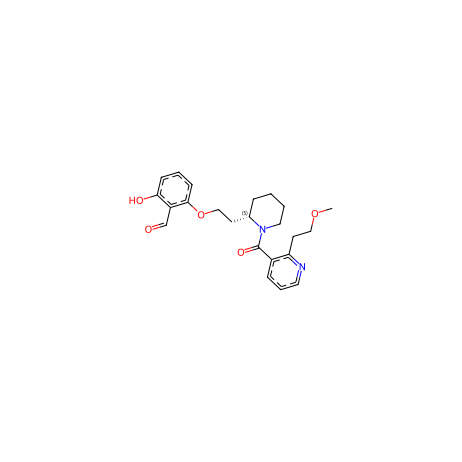 COCCc1ncccc1C(=O)N1CCCC[C@H]1CCOc1cccc(O)c1C=O